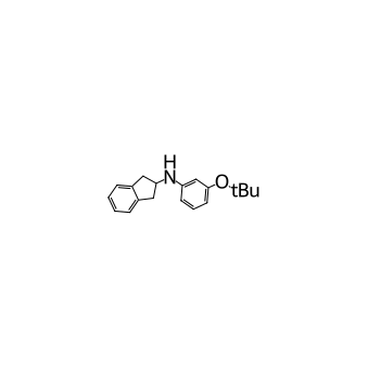 CC(C)(C)Oc1cccc(NC2Cc3ccccc3C2)c1